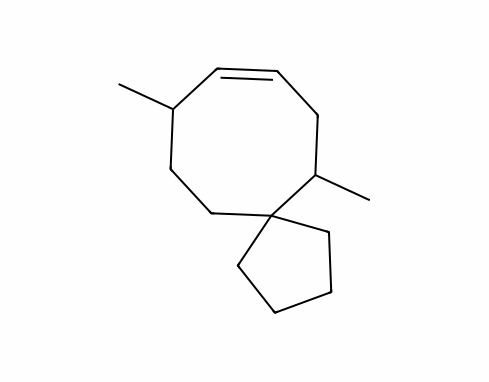 CC1C=CCC(C)C2(CCCC2)CC1